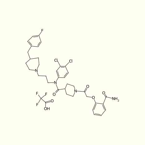 NC(=O)c1ccccc1OCC(=O)N1CCC(C(=O)N(CCCN2CCC(Cc3ccc(F)cc3)CC2)c2ccc(Cl)c(Cl)c2)CC1.O=C(O)C(F)(F)F